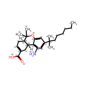 CCCCCCC(C)(C)c1cc(N)c2c(c1)OC(C)(C)[C@@H]1CC=C(C(=O)O)C[C@@H]21